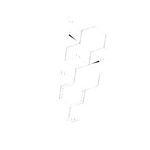 COc1ccc2c(c1)CC[C@@H]1[C@@H]2CC[C@]2(C)C(=O)CCC[C@@H]12